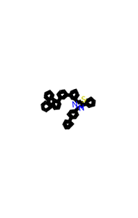 c1ccc(-c2ccc(-c3nc(-c4cccc(-c5cccc(-c6cccc7c6-c6ccccc6C76CCCCC6)c5)c4)c4sc5ccccc5c4n3)cc2)cc1